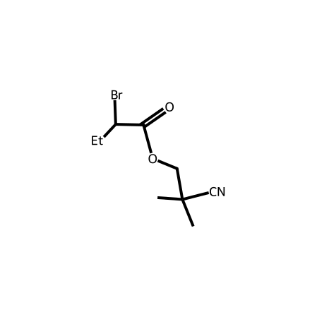 CCC(Br)C(=O)OCC(C)(C)C#N